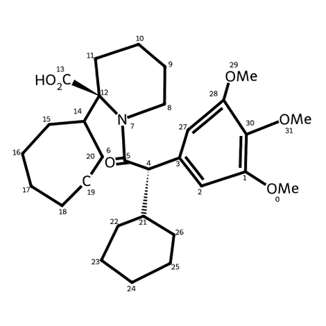 COc1cc([C@@H](C(=O)N2CCCC[C@@]2(C(=O)O)C2CCCCCC2)C2CCCCC2)cc(OC)c1OC